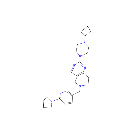 c1cc(N2CCCC2)ncc1CN1CCc2nc(N3CCN(C4CCC4)CC3)ncc2C1